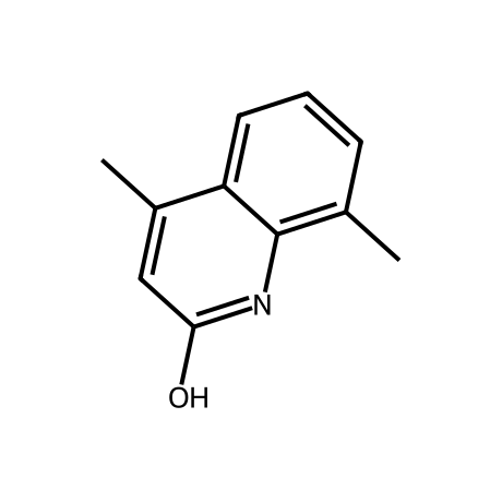 Cc1cc(O)nc2c(C)cccc12